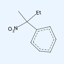 [CH2]CC(C)(c1ccccc1)[N+](=O)[O-]